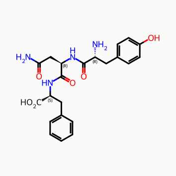 NC(=O)C[C@@H](NC(=O)[C@H](N)Cc1ccc(O)cc1)C(=O)N[C@@H](Cc1ccccc1)C(=O)O